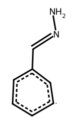 NN=Cc1c[c]ccc1